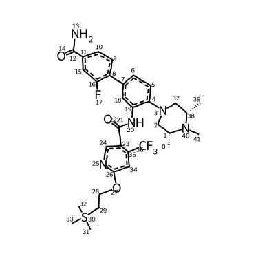 C[C@@H]1CN(c2ccc(-c3ccc(C(N)=O)cc3F)cc2NC(=O)c2cnc(OCCS(C)(C)C)cc2C(F)(F)F)C[C@H](C)N1C